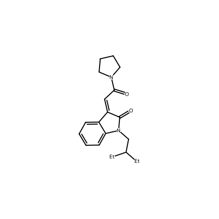 CCC(CC)CN1C(=O)C(=CC(=O)N2CCCC2)c2ccccc21